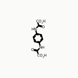 O=C(O)C(=O)Nc1ccc(NC(=O)C(=O)O)cc1